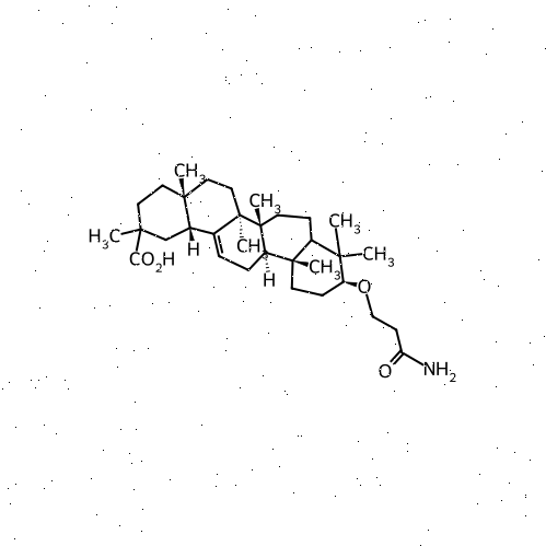 CC1(C(=O)O)CC[C@]2(C)CC[C@]3(C)C(=CC[C@@H]4[C@@]5(C)CC[C@H](OCCC(N)=O)C(C)(C)C5CC[C@]43C)[C@@H]2C1